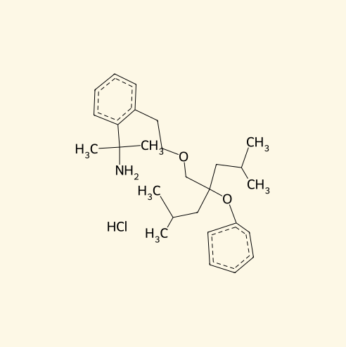 CC(C)CC(COCCc1ccccc1C(C)(C)N)(CC(C)C)Oc1ccccc1.Cl